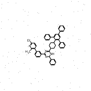 CCc1ccc(-c2cccc(C3=NC(c4ccccc4)NC(C4CCC(c5c(-c6ccccc6)cc(-c6ccccc6)cc5-c5ccccc5)CC4)=N3)c2)c(C)n1